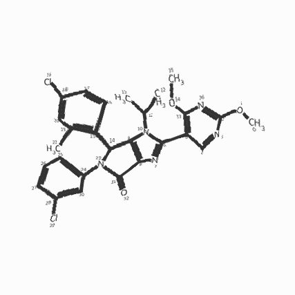 COc1ncc(-c2nc3c(n2C(C)C)C(c2ccc(Cl)cc2C)N(c2cccc(Cl)c2)C3=O)c(OC)n1